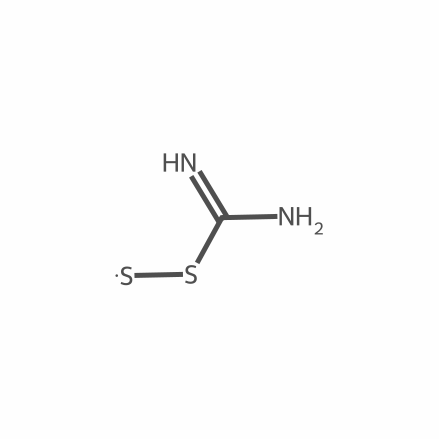 N=C(N)S[S]